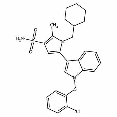 Cc1c(S(N)(=O)=O)cc(-c2cn(Sc3ccccc3Cl)c3ccccc23)n1CC1CCCCC1